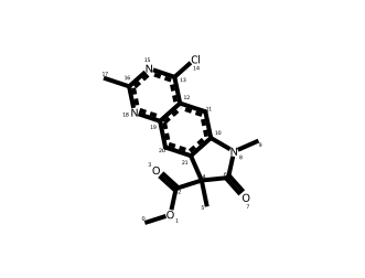 COC(=O)C1(C)C(=O)N(C)c2cc3c(Cl)nc(C)nc3cc21